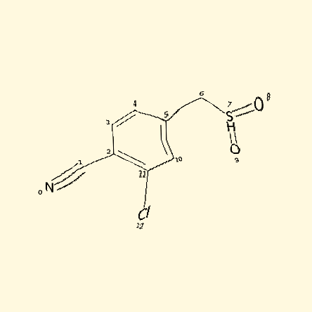 N#Cc1ccc(C[SH](=O)=O)cc1Cl